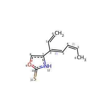 C=C/C(=C\C=C/C)c1coc(=S)[nH]1